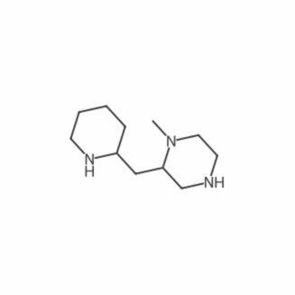 CN1CCNCC1CC1CCCCN1